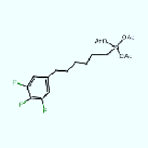 CC(=O)O[Si](CCCCCCc1cc(F)c(F)c(F)c1)(OC(C)=O)OC(C)=O